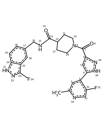 Cc1cc(-c2cc(C(=O)N3CCC(C(=O)NCc4ccc5[nH]nc(F)c5c4)CC3)n[nH]2)c(F)cn1